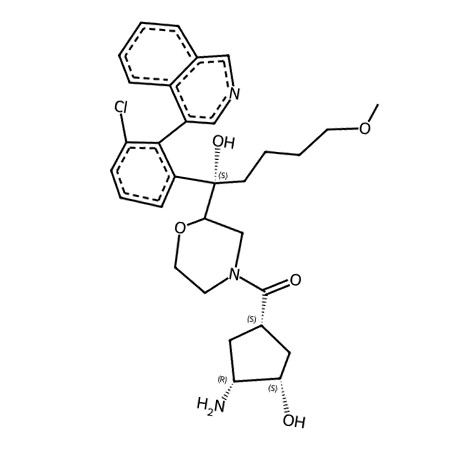 COCCCC[C@](O)(c1cccc(Cl)c1-c1cncc2ccccc12)C1CN(C(=O)[C@H]2C[C@@H](N)[C@@H](O)C2)CCO1